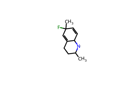 CC1CCC2=CC(C)(F)C=CC2[N]1